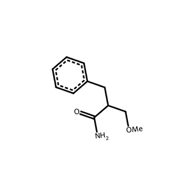 COCC(Cc1ccccc1)C(N)=O